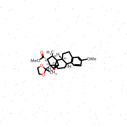 COC(=O)[C@@H]1[C@@H](C)C23C=C[C@@]1(C1(C)OCCO1)[C@@]2(C)CC[C@@H]1c2ccc(OC)cc2CC[C@H]13